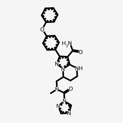 CN(CC1CCNc2c(C(N)=O)c(-c3ccc(Oc4ccccc4)cc3)nn21)C(=O)n1cncn1